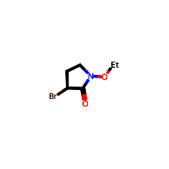 CCON1CCC(Br)C1=O